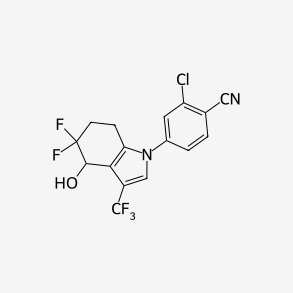 N#Cc1ccc(-n2cc(C(F)(F)F)c3c2CCC(F)(F)C3O)cc1Cl